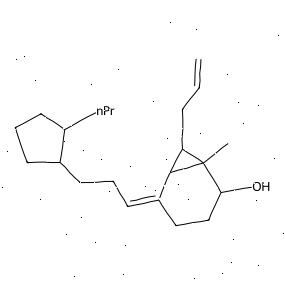 C=CCC1C2/C(=C\CCC3CCCC3CCC)CCC(O)C12C